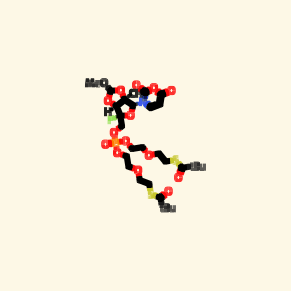 COC1O[C@H]2[C@@](C)(O1)[C@H](n1ccc(=O)oc1=O)O[C@]2(F)COP(=O)(OCCOCCSC(=O)C(C)(C)C)OCCOCCSC(=O)C(C)(C)C